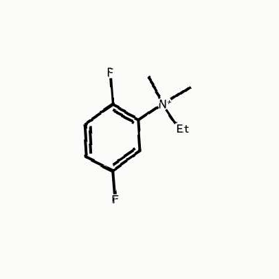 [CH2]C[N+](C)(C)c1cc(F)ccc1F